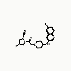 N#C[C@@H]1C[C@H](F)CN1C(=O)CN1CCC(Nc2cnc3ccc(F)cc3c2)CC1